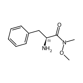 CON(C)C(=O)[C@@H](N)Cc1ccccc1